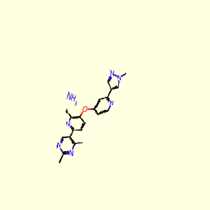 Cc1ncc(-c2ccc(Oc3ccnc(-c4cnn(C)c4)c3)c(C)n2)c(C)n1.N